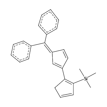 C[Si](C)(C)C1=C(C2=CC(=C(c3ccccc3)c3ccccc3)C=C2)CC=C1